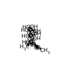 CCCn1cc(CO[C@@H]2O[C@H](CO)[C@@H](O[C@@H]3O[C@H](CO)[C@H](O)C(O[C@H]4O[C@H](CO)[C@H](O)C(O)C4O)C3O)C(O)C2NC(C)=O)nn1